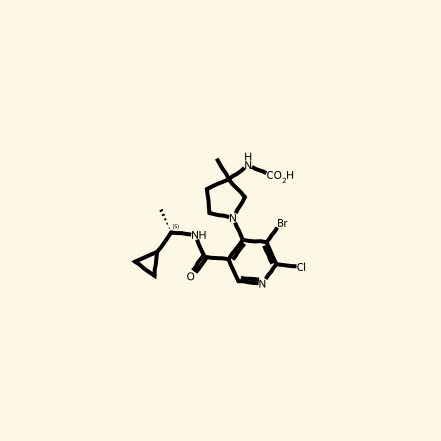 C[C@H](NC(=O)c1cnc(Cl)c(Br)c1N1CCC(C)(NC(=O)O)C1)C1CC1